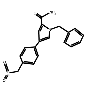 NC(=O)c1cc(-c2ccc(C[SH](=O)=O)cc2)cn1Cc1ccccc1